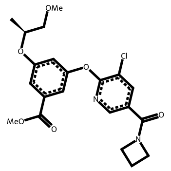 COC[C@H](C)Oc1cc(Oc2ncc(C(=O)N3CCC3)cc2Cl)cc(C(=O)OC)c1